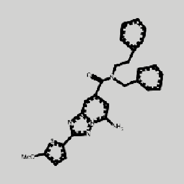 COc1ccc(-c2nc3cc(C(=O)N(CCc4ccccc4)Cc4ccccc4)cc(N)n3n2)s1